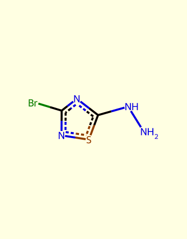 NNc1nc(Br)ns1